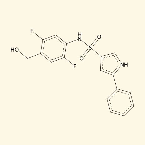 O=S(=O)(Nc1cc(F)c(CO)cc1F)c1c[nH]c(-c2ccccc2)c1